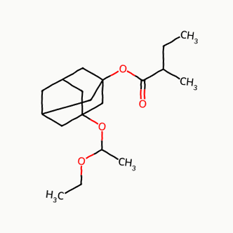 CCOC(C)OC12CC3CC(CC(OC(=O)C(C)CC)(C3)C1)C2